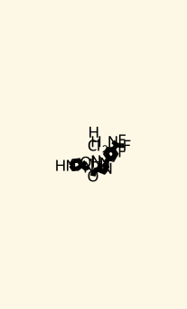 Cl.NC(c1ccc(-n2ncc3c(=O)n(CC4(O)CCNCC4)cnc32)cc1)C(F)(F)F